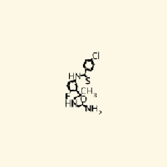 CC1(c2cc(NC(=S)c3ccc(Cl)cc3)ccc2F)CNCC(N)O1